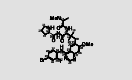 CN[C@@H](C)C(=O)N[C@H](C(=O)NC(=O)[C@@H]1CCCN1)C(C)(C)Cc1cc2c(Nc3ccc(Br)cc3F)ncnc2cc1OC